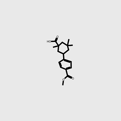 COC(=O)c1ccc(C2CC(C)(C)CC(C)(C(=O)O)C2)cc1